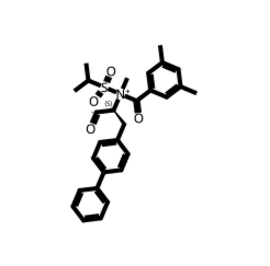 Cc1cc(C)cc(C(=O)[N+](C)([C@H]([C]=O)Cc2ccc(-c3ccccc3)cc2)S(=O)(=O)C(C)C)c1